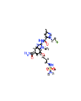 CCCn1c(NC(=O)c2cc(C)nn2CCF)nc2cc(C(N)=O)cc(OCCCNS(=O)(=O)N(C)C)c21